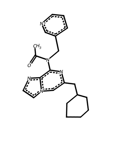 CC(=O)N(Cc1cccnc1)c1nc(CC2CCCCC2)cn2ccnc12